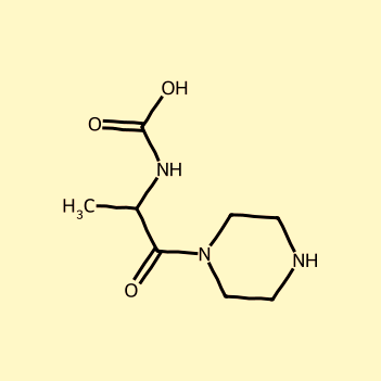 CC(NC(=O)O)C(=O)N1CCNCC1